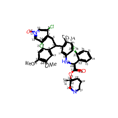 COc1ccc(C(Cc2c(Cl)c[n+]([O-])cc2Cl)c2cc(NC(C(=O)O[C@H]3CN4CCC3CC4)c3ccccc3F)ccc2C(=O)O)cc1OC